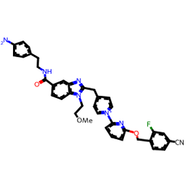 COCCn1c(Cc2cc[n+](-c3cccc(OCc4ccc(C#N)cc4F)n3)cc2)nc2cc(C(=O)NCCc3ccc(N)cc3)ccc21